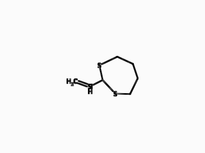 C=[SiH]C1SCCCCS1